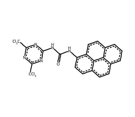 O=C(Nc1nc(C(Cl)(Cl)Cl)nc(C(Cl)(Cl)Cl)n1)Nc1ccc2ccc3cccc4ccc1c2c34